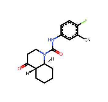 N#Cc1cc(NC(=O)N2CCC(=O)[C@H]3CCCC[C@@H]32)ccc1F